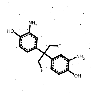 Nc1cc(C(CF)(CF)c2ccc(O)c(N)c2)ccc1O